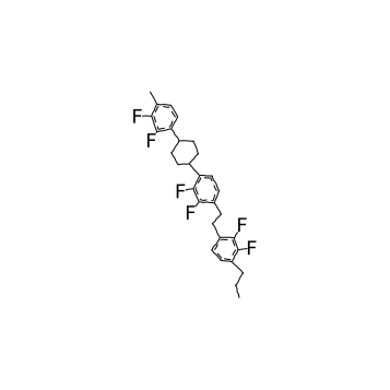 CCCc1ccc(CCc2ccc(C3CCC(c4ccc(C)c(F)c4F)CC3)c(F)c2F)c(F)c1F